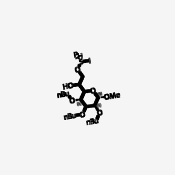 CCCCOC1[C@H](OCCCC)C(C(O)CO[SH](#P)I)O[C@H](OC)[C@H]1OCCCC